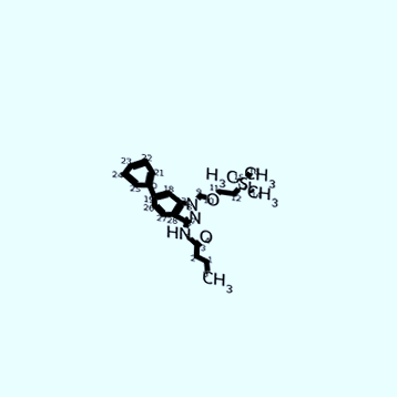 CCCC(=O)Nc1nn(COCC[Si](C)(C)C)c2cc(-c3ccccc3)ccc12